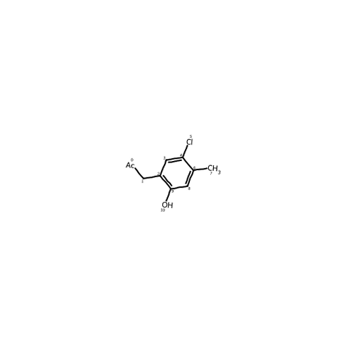 CC(=O)Cc1cc(Cl)c(C)cc1O